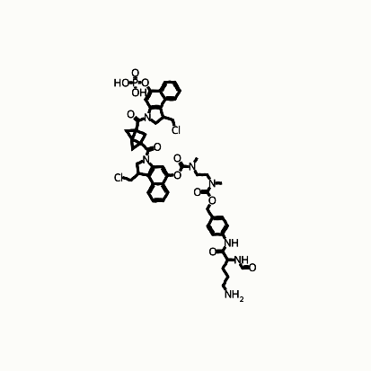 CN(CCN(C)C(=O)Oc1cc2c(c3ccccc13)C(CCl)CN2C(=O)C12CC3(C(=O)N4CC(CCl)c5c4cc(OP(=O)(O)O)c4ccccc54)CC13C2)C(=O)OCc1ccc(NC(=O)C(CCCN)NC=O)cc1